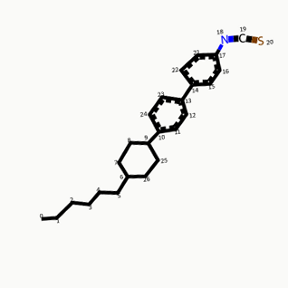 CCCCCCC1CCC(c2ccc(-c3ccc(N=C=S)cc3)cc2)CC1